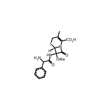 COC1(NC(=O)C(N)c2ccccc2)C(=O)N2C(C(=O)O)=C(C)CS[C@H]21